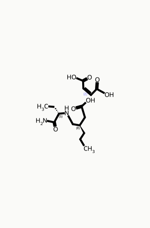 CCC[C@@H](CN[C@@H](CC)C(N)=O)CC(=O)O.O=C(O)/C=C\C(=O)O